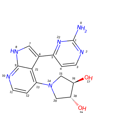 Nc1nccc(-c2c[nH]c3nccc(N4C[C@@H](O)[C@H](O)C4)c23)n1